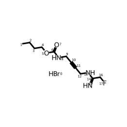 Br.CCCCOC(=O)NCC#CCNC(=N)CF